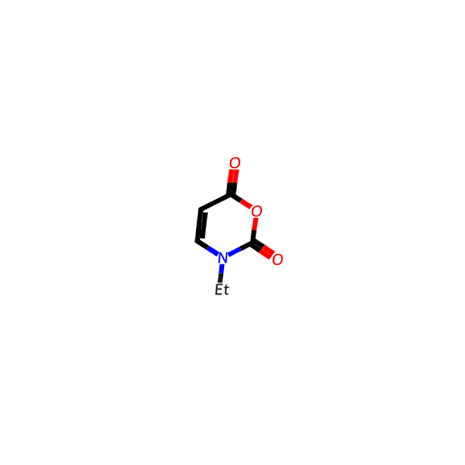 CCn1ccc(=O)oc1=O